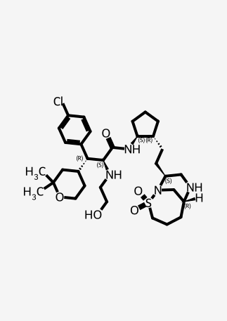 CC1(C)CC([C@H](c2ccc(Cl)cc2)[C@H](NCCO)C(=O)N[C@H]2CCC[C@@H]2CC[C@H]2CN[C@@H]3CCCS(=O)(=O)N2C3)CCO1